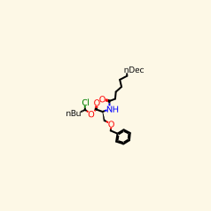 CCCCCCCCCCCCCCCC(=O)N[C@@H](COCc1ccccc1)C(=O)OC(Cl)CCCC